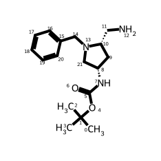 CC(C)(C)OC(=O)N[C@H]1C[C@@H](CN)N(Cc2ccccc2)C1